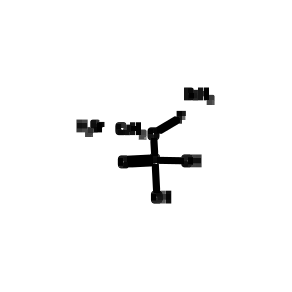 O=P(O)(O)OF.[BaH2].[CaH2].[SrH2]